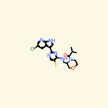 CC(C)C(=O)N1CCOCC1CNc1nc(-c2c[nH]c3ncc(Cl)cc23)ncc1F